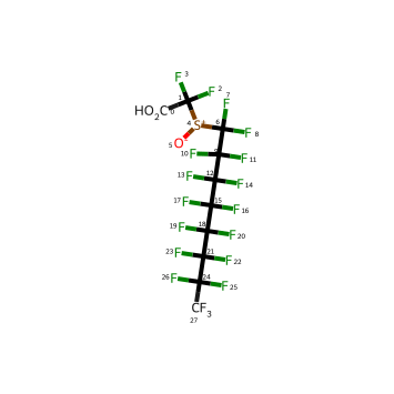 O=C(O)C(F)(F)[S+]([O-])C(F)(F)C(F)(F)C(F)(F)C(F)(F)C(F)(F)C(F)(F)C(F)(F)C(F)(F)F